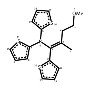 COCC/C(C)=C(\B(c1cccs1)c1cccs1)c1cccs1